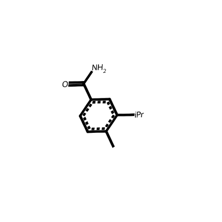 Cc1ccc(C(N)=O)cc1C(C)C